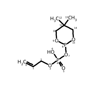 C=CCOP(=O)(O)OP1OCC(C)(C)CO1